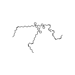 CC/C=C\C/C=C\C/C=C\C/C=C\C/C=C\C/C=C\CCC(=O)O[C@H](COC(=O)CCCCCCC/C=C\C/C=C\CCCCC)COC(=O)CCCCCCCCC/C=C\CCCCCC